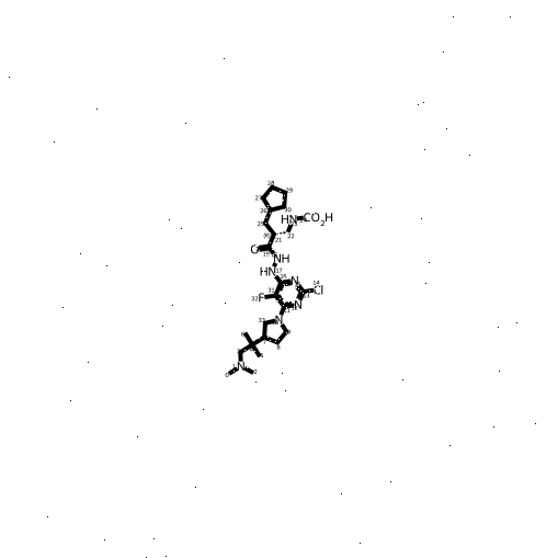 CN(C)CC(C)(C)C1CCN(c2nc(Cl)nc(NNC(=O)[C@@H](CNC(=O)O)CC3CCCC3)c2F)C1